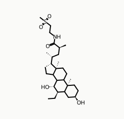 CC[C@@H]1C2C[C@H](O)CC[C@]2(C)C2CC[C@@]3(C)C(CC[C@@H]3[C@H](C)C[C@H](C)C(=O)NCCS(C)(=O)=O)C2[C@H]1O